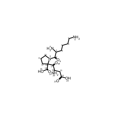 NCCCCC(N)C(=O)N1CCCC1(C(=O)O)C(=O)C(N)CC(=O)O